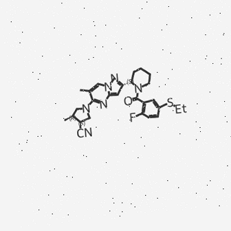 CCSc1ccc(F)c(C(=O)N2CCCC[C@H]2c2cc3nc(N4C[C@@H](C#N)[C@@H](C)C4)c(C)cn3n2)c1